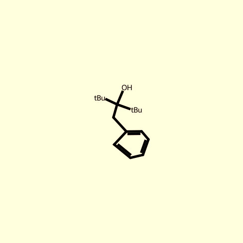 CC(C)(C)C(O)(Cc1ccccc1)C(C)(C)C